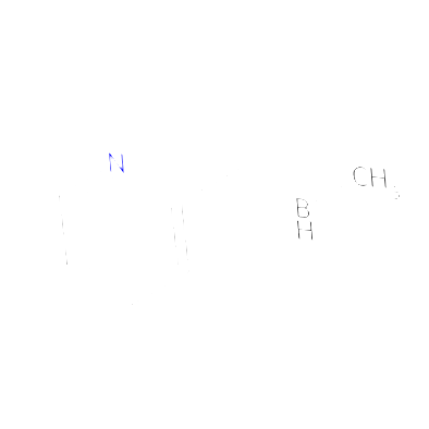 CBCc1ccccn1